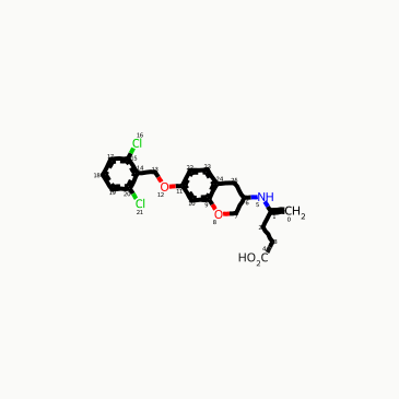 C=C(CCC(=O)O)NC1COc2cc(OCc3c(Cl)cccc3Cl)ccc2C1